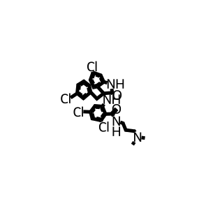 CN(C)CCCNC(=O)c1c(Cl)cc(Cl)cc1NC1(Cc2cccc(Cl)c2)C(=O)Nc2cc(Cl)ccc21